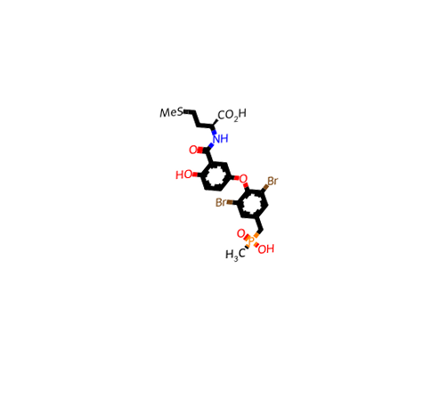 CSCC[C@H](NC(=O)c1cc(Oc2c(Br)cc(CP(C)(=O)O)cc2Br)ccc1O)C(=O)O